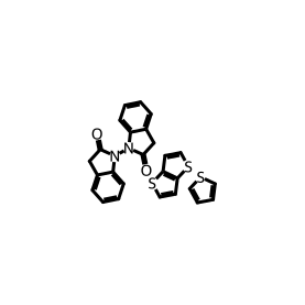 O=C1Cc2ccccc2N1N1C(=O)Cc2ccccc21.c1cc2sccc2s1.c1ccsc1